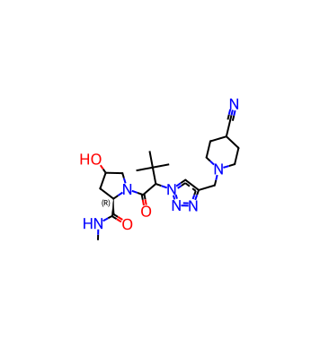 CNC(=O)[C@H]1CC(O)CN1C(=O)C(n1cc(CN2CCC(C#N)CC2)nn1)C(C)(C)C